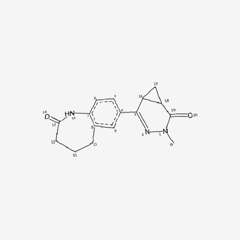 CN1N=C(c2ccc3c(c2)CCCC(=O)N3)C2CC2C1=O